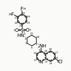 O=S(=O)(N[C@H]1CC[C@@H](Nc2ccnc3cc(Cl)ccc23)CC1)c1ccc(F)c(F)c1